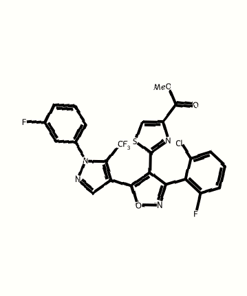 COC(=O)c1csc(-c2c(-c3c(F)cccc3Cl)noc2-c2cnn(-c3cccc(F)c3)c2C(F)(F)F)n1